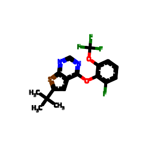 CC(C)(C)c1cc2c(Oc3c(F)cccc3OC(F)(F)F)ncnc2s1